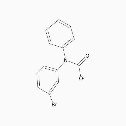 [O]C(=O)N(c1ccccc1)c1cccc(Br)c1